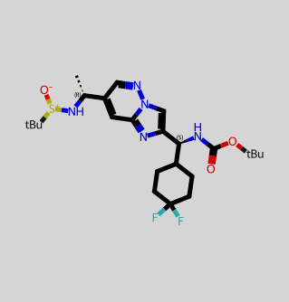 C[C@@H](N[S+]([O-])C(C)(C)C)c1cnn2cc([C@@H](NC(=O)OC(C)(C)C)C3CCC(F)(F)CC3)nc2c1